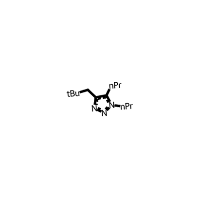 CCCc1c(CC(C)(C)C)nnn1CCC